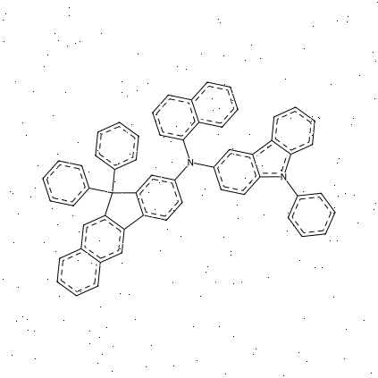 c1ccc(-n2c3ccccc3c3cc(N(c4ccc5c(c4)C(c4ccccc4)(c4ccccc4)c4cc6ccccc6cc4-5)c4cccc5ccccc45)ccc32)cc1